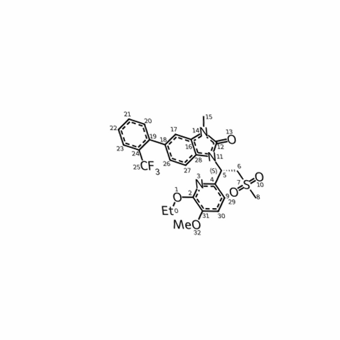 CCOc1nc([C@@H](CS(C)(=O)=O)n2c(=O)n(C)c3cc(-c4ccccc4C(F)(F)F)ccc32)ccc1OC